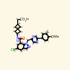 COc1ccc(-c2cnc(Cn3ncc4cc(Cl)cc(C(=O)NC5CC6(CC(CC(=O)O)C6)C5)c43)cn2)cc1F